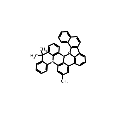 Cc1cc2c3c(c1)N1c4ccccc4C(C)(C)c4cccc(c41)B3n1c3c-2cccc3c2ccc3ccccc3c21